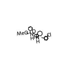 COC[C@H](NC(=O)c1n[nH]c2c1CCCC[C@@H]2Cc1cccc(Cl)c1)C1C=CC=CC1